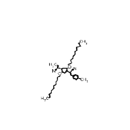 C/C=C(\C#N)c1cc(OCCCCCCCCCCCC)c(/C(C#N)=C/c2ccc(C)cc2)cc1OCCCCCCCCCCCC